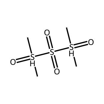 C[SH](C)(=O)S(=O)(=O)[SH](C)(C)=O